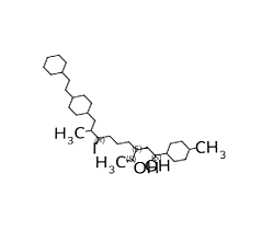 CC1CCC([C@@H](O)C[C@H](CCC[C@@H](I)C(C)CC2CCC(CCC3CCCCC3)CC2)[C@H](C)O)CC1